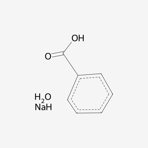 O.O=C(O)c1ccccc1.[NaH]